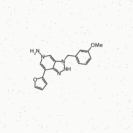 COc1cccc(CN2NN=C3C(c4ccco4)=CN(N)C=C32)c1